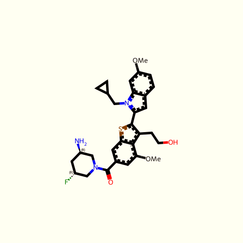 COc1ccc2cc(-c3sc4cc(C(=O)N5C[C@H](N)C[C@@H](F)C5)cc(OC)c4c3CCO)n(CC3CC3)c2c1